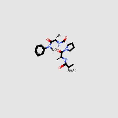 CC(=O)N[C@@H](C)C(=O)N[C@@H](C)C(=O)N1CCC[C@H]1C(=O)N[C@H](C(=O)N([N+]=O)c1ccccc1)C(C)C